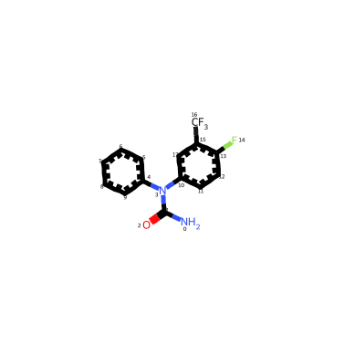 NC(=O)N(c1ccccc1)c1ccc(F)c(C(F)(F)F)c1